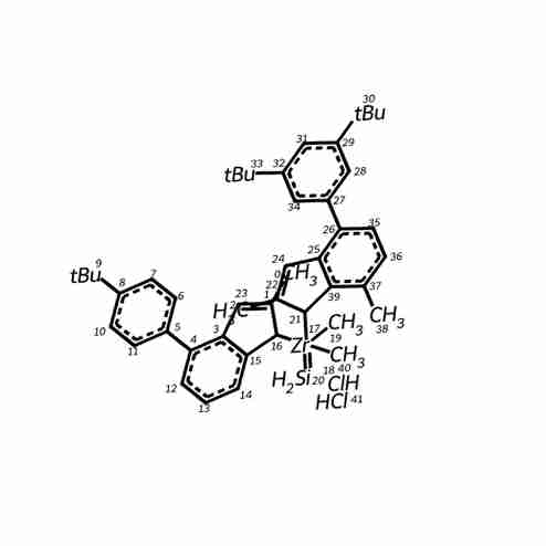 CC1=Cc2c(-c3ccc(C(C)(C)C)cc3)cccc2[CH]1[Zr]([CH3])([CH3])(=[SiH2])[CH]1C(C)=Cc2c(-c3cc(C(C)(C)C)cc(C(C)(C)C)c3)ccc(C)c21.Cl.Cl